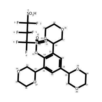 O=S(=O)(O)C(F)(F)C(F)(F)C(F)(F)S(=O)(=O)Oc1c(C2COCCO2)cc(C2COCCO2)cc1C1COCCO1